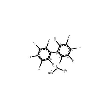 CCCCPCCC.Fc1c(F)c(F)c(-c2c(F)c(F)c(F)c(F)c2F)c(F)c1F